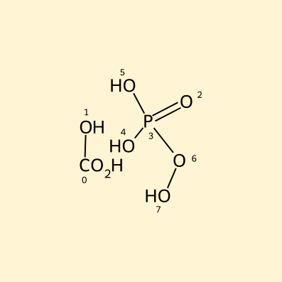 O=C(O)O.O=P(O)(O)OO